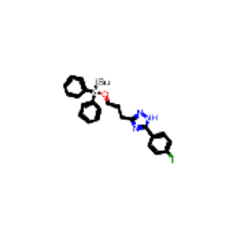 CC(C)(C)[Si](OCCCc1n[nH]c(-c2ccc(F)cc2)n1)(c1ccccc1)c1ccccc1